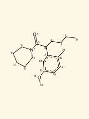 CCCCC(C(=O)N1CCCCC1)c1cc(OC)ccc1C